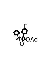 CC(=O)OC1C(=O)N(C(C)c2ccccc2)C1c1ccc(F)cc1